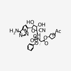 CC(=O)N1CC[C@@H](OC(=O)[C@H](C)NP(=O)(OC[C@@]2(C#N)O[C@@H](c3ccc4c(N)ncnn34)[C@H](O)[C@@H]2O)Oc2ccccc2)C1